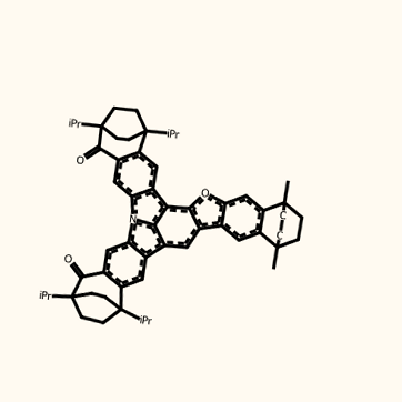 CC(C)C12CCC(C(C)C)(CC1)c1cc3c4cc5c6cc7c(cc6oc5c5c6cc8c(cc6n(c3cc1C2=O)c45)C(=O)C1(C(C)C)CCC8(C(C)C)CC1)C1(C)CCC7(C)CC1